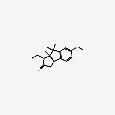 CCN1C(=O)CN2c3ccc(OC)cc3C(C)(C)C12C